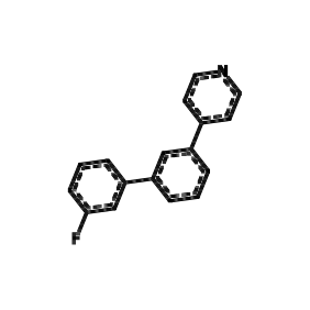 Fc1cccc(-c2cccc(-c3ccncc3)c2)c1